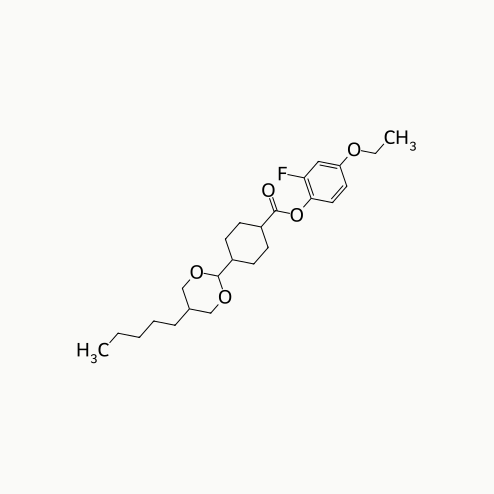 CCCCCC1COC(C2CCC(C(=O)Oc3ccc(OCC)cc3F)CC2)OC1